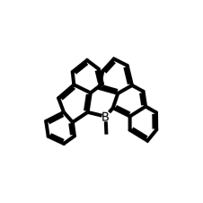 CB(c1c2ccccc2cc2ccccc12)c1c2ccccc2cc2ccccc12